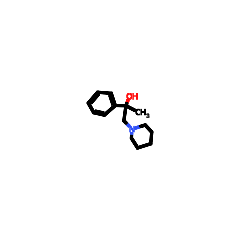 CC(O)(CN1CCCCC1)c1ccccc1